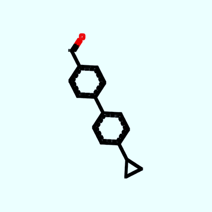 O=[C]c1ccc(-c2ccc(C3CC3)cc2)cc1